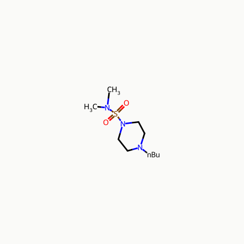 CCCCN1CCN(S(=O)(=O)N(C)C)CC1